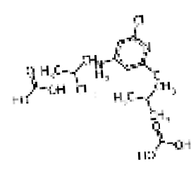 CC(C)C.CC(C)C.Nc1cc(Cl)nc(Cl)c1.O=C(O)O.O=C(O)O